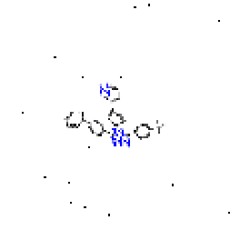 CC(C)(C)c1ccc(-c2nnc(-c3ccc(-c4ccccc4)cc3)n2-c2ccc(-c3cccnc3)cc2)cc1